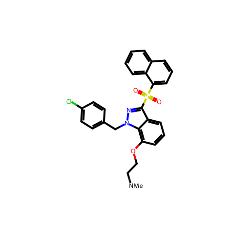 CNCCOc1cccc2c(S(=O)(=O)c3cccc4ccccc34)nn(Cc3ccc(Cl)cc3)c12